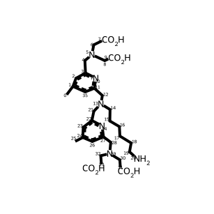 Cc1cc(CN(CC(=O)O)CC(=O)O)nc(CN(CCCCCCN)Cc2cc(C)cc(CN(CC(=O)O)CC(=O)O)n2)c1